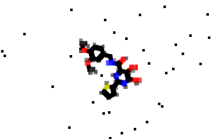 COc1ccc(CNC(=O)c2nc(-c3cccs3)nc(O)c2O)cc1OC